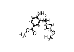 COC(=O)c1ccc(N)c(NC2CC(OC)C2)c1